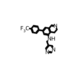 FC(F)(F)c1ccc(-c2cc3c(c(NCc4cncnc4)c2)CCN=C3)cc1